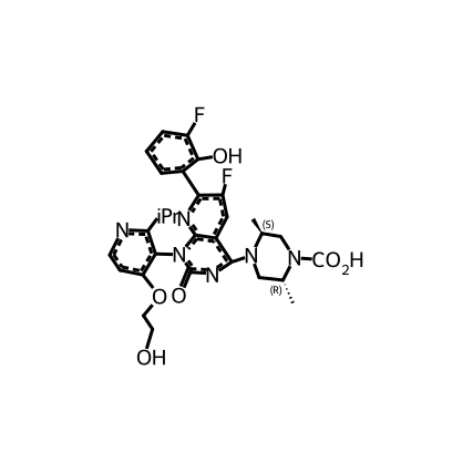 CC(C)c1nccc(OCCO)c1-n1c(=O)nc(N2C[C@@H](C)N(C(=O)O)C[C@@H]2C)c2cc(F)c(-c3cccc(F)c3O)nc21